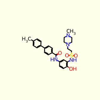 Cc1ccc(-c2ccc(C(=O)Nc3ccc(O)c(NS(=O)(=O)CCN4CCN(C)CC4)c3)cc2)cc1